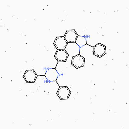 c1ccc(C2NC(c3ccccc3)NC(c3ccc4c(ccc5ccc6c(c54)N(c4ccccc4)C(c4ccccc4)N6)c3)N2)cc1